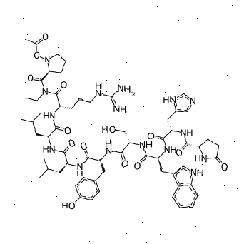 CCN(C(=O)[C@H](CCCNC(=N)N)NC(=O)[C@H](CC(C)C)NC(=O)[C@H](CC(C)C)NC(=O)[C@H](Cc1ccc(O)cc1)NC(=O)[C@H](CO)NC(=O)[C@H](Cc1c[nH]c2ccccc12)NC(=O)[C@H](Cc1cnc[nH]1)NC(=O)[C@@H]1CCC(=O)N1)C(=O)[C@@H]1CCCN1OC(C)=O